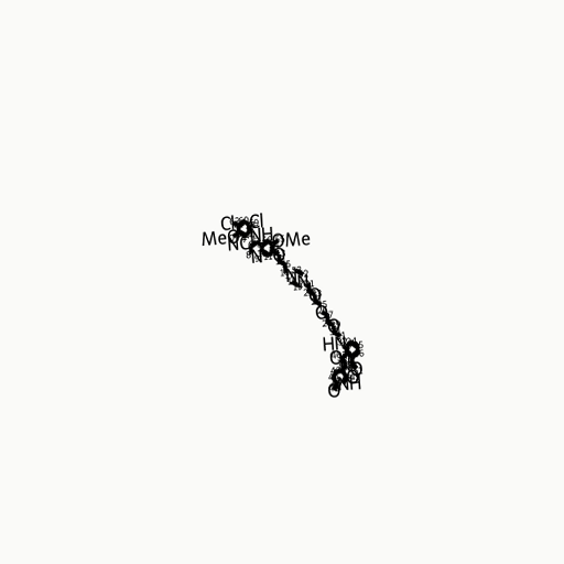 COc1cc(Nc2c(C#N)cnc3cc(OCCCN4CCN(CCOCCOCCOCCNc5cccc6c5C(=O)N(C5CCC(=O)NC5=O)C6=O)CC4)c(OC)cc23)c(Cl)cc1Cl